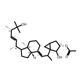 CC(=O)O[C@H]1CC2CC2(C(C)/C=C2\CCC[C@]3(C)C([C@H](C)/C=C/[C@H](C)C(C)(C)O)CC[C@@H]23)C1O